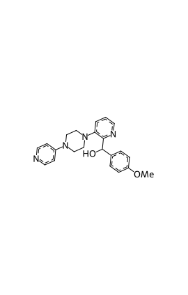 COc1ccc(C(O)c2ncccc2N2CCN(c3ccncc3)CC2)cc1